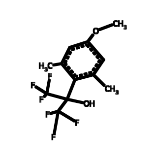 COc1cc(C)c(C(O)(C(F)(F)F)C(F)(F)F)c(C)c1